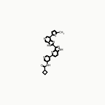 Cc1ccc(-c2cncc3[nH]c(-c4n[nH]c5ccc(-c6cncc(NC(=O)C7CCC7)c6)nc45)nc23)s1